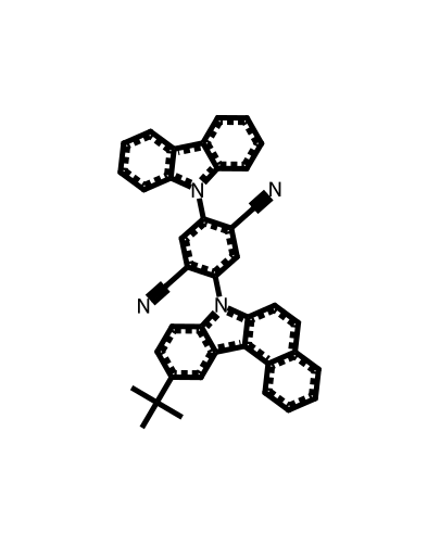 CC(C)(C)c1ccc2c(c1)c1c3ccccc3ccc1n2-c1cc(C#N)c(-n2c3ccccc3c3ccccc32)cc1C#N